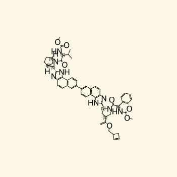 C=C(OCC1C=CC1)[C@H]1C[C@@H](c2nc3ccc4cc(-c5ccc6c(ccc7nc([C@@H]8[C@@H]9CC[C@@H](C9)N8C(=O)[C@@H](NC(=O)OC)C(C)C)[nH]c76)c5)ccc4c3[nH]2)N(C(=O)[C@H](NC(=O)OC)c2ccccc2)C1